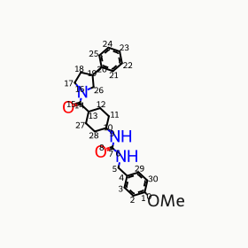 COc1ccc(CNC(=O)NC2CCC(C(=O)N3CCC(c4ccccc4)C3)CC2)cc1